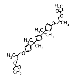 C=CC(=O)OCC(C)COc1ccc(C(C)(C)c2ccc(C(C)(C)c3ccc(OCC(C)COC(=O)C=C)cc3)cc2)cc1